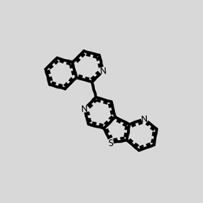 c1ccc2c(-c3cc4c(cn3)sc3cccnc34)nccc2c1